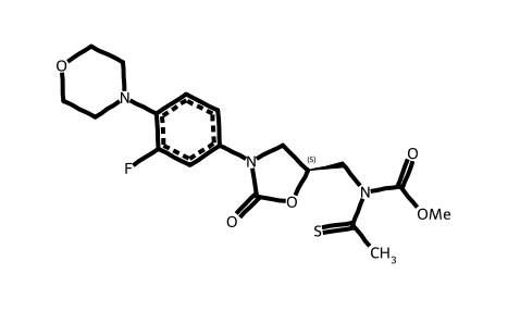 COC(=O)N(C[C@@H]1CN(c2ccc(N3CCOCC3)c(F)c2)C(=O)O1)C(C)=S